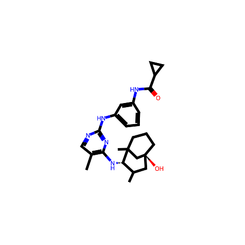 Cc1cnc(Nc2cccc(NC(=O)C3CC3)c2)nc1N[C@H]1C(C)C[C@@]2(O)CCCC1(C)C2